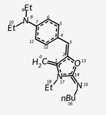 C=c1/c(=C\c2ccc(N(CC)CC)cc2)o/c(=N/CCCC)n1CC